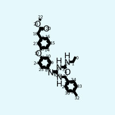 CCNC(=O)N/C(=N\c1ccc(Oc2cccc(CC(=O)OC)c2)cc1)NCc1ccc(C)cc1